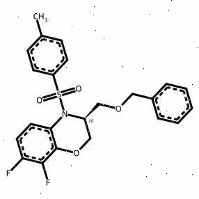 Cc1ccc(S(=O)(=O)N2c3ccc(F)c(F)c3OC[C@@H]2COCc2ccccc2)cc1